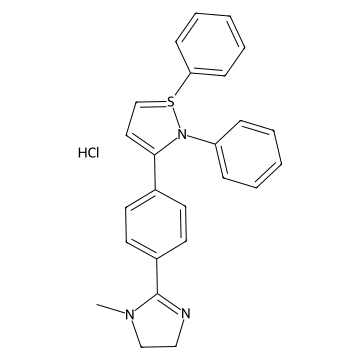 CN1CCN=C1c1ccc(C2=CC=S(c3ccccc3)N2c2ccccc2)cc1.Cl